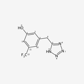 Oc1cc(Cc2nnn[nH]2)cc(C(F)(F)F)c1